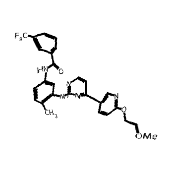 COCCOc1ccc(-c2ccnc(Nc3cc(NC(=O)c4cccc(C(F)(F)F)c4)ccc3C)n2)cn1